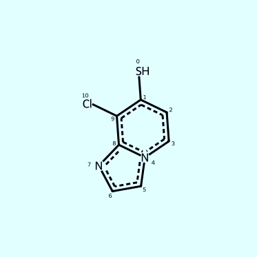 Sc1ccn2ccnc2c1Cl